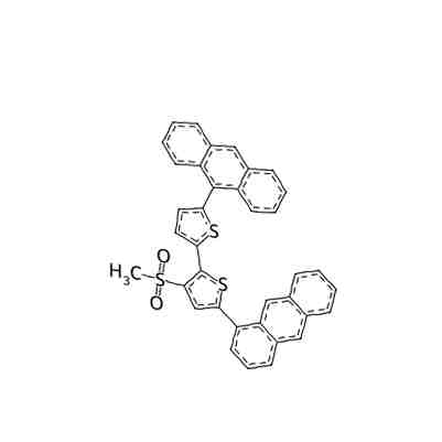 CS(=O)(=O)c1cc(-c2cccc3cc4ccccc4cc23)sc1-c1ccc(-c2c3ccccc3cc3ccccc23)s1